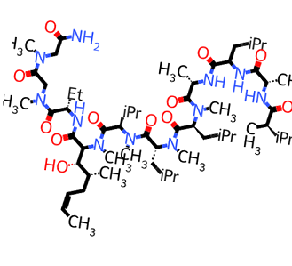 C/C=C\C[C@@H](C)[C@H](O)C(C(=O)N[C@@H](CC)C(=O)N(C)CC(=O)N(C)CC(N)=O)N(C)C(=O)[C@@H](C(C)C)N(C)C(=O)[C@@H](CC(C)C)N(C)C(=O)[C@H](CC(C)C)N(C)C(=O)[C@H](C)NC(=O)C(CC(C)C)NC(=O)[C@H](C)NC(=O)[C@H](C)C(C)C